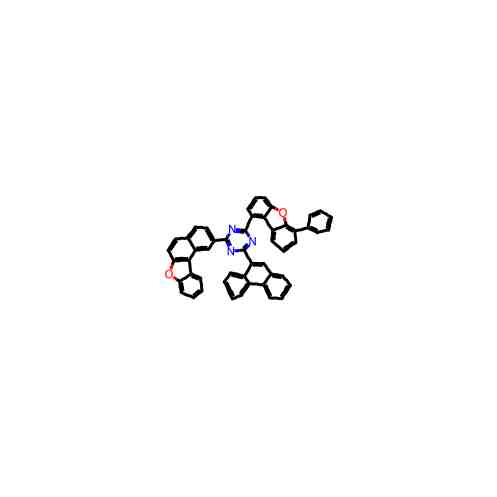 c1ccc(-c2cccc3c2oc2cccc(-c4nc(-c5ccc6ccc7oc8ccccc8c7c6c5)nc(-c5cc6ccccc6c6ccccc56)n4)c23)cc1